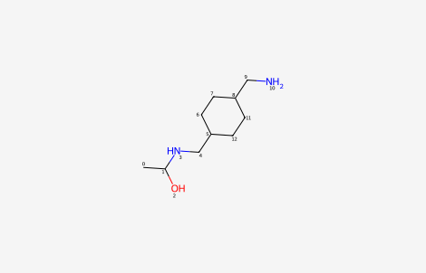 CC(O)NCC1CCC(CN)CC1